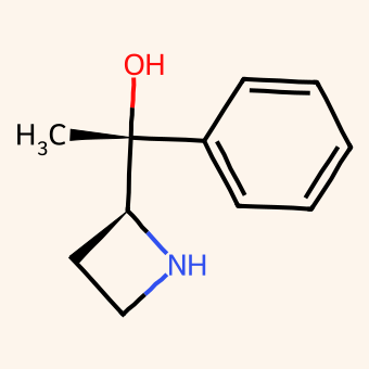 C[C@@](O)(c1ccccc1)[C@@H]1CCN1